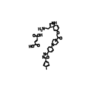 Cc1ccc(-c2nnc(-c3ccc(N4CCN(C(=O)COc5ccc6[nH]cc(CCN)c6c5)CC4)cc3)o2)cc1.O=C(O)/C=C/C(=O)O